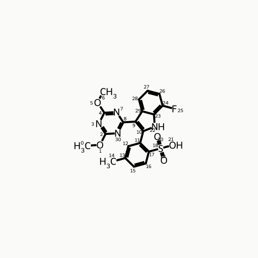 COc1nc(OC)nc(-c2c(-c3cc(C)ccc3S(=O)(=O)O)[nH]c3c(F)cccc23)n1